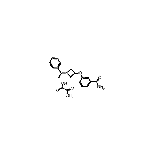 CC(c1ccccc1)N1CC(Oc2cccc(C(N)=O)c2)C1.O=C(O)C(=O)O